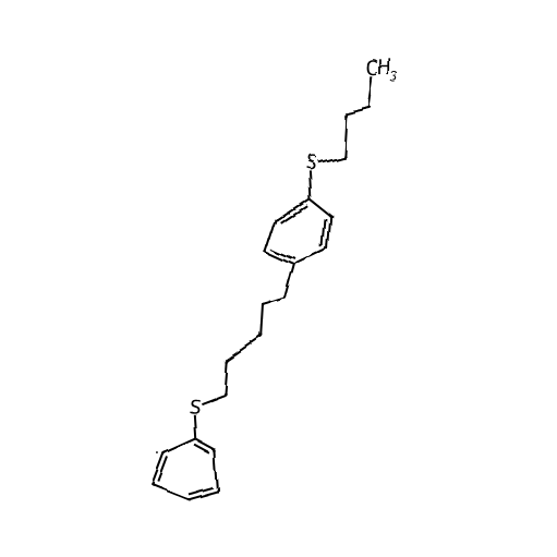 CCCCSc1ccc(CCCCCSc2[c]cccc2)cc1